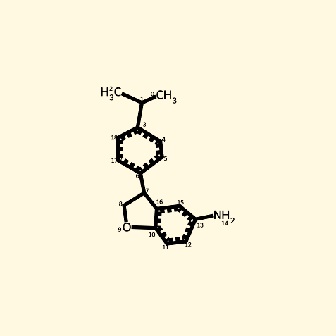 CC(C)c1ccc(C2COc3ccc(N)cc32)cc1